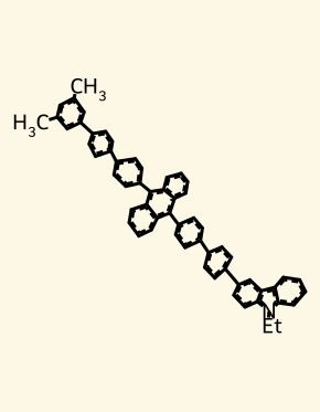 CCn1c2ccccc2c2cc(-c3ccc(-c4ccc(-c5c6ccccc6c(-c6ccc(-c7ccc(-c8cc(C)cc(C)c8)cc7)cc6)c6ccccc56)cc4)cc3)ccc21